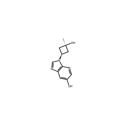 C[C@]1(O)C[C@@H](n2cnc3cc(O)cnc32)C1